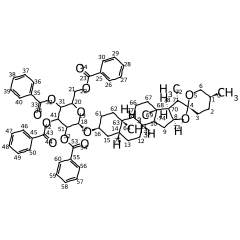 C[C@H]1CC[C@@]2(OC1)O[C@H]1C[C@H]3[C@@H]4CC[C@@H]5C[C@@H](O[C@@H]6OC(COC(=O)c7ccccc7)C(OC(=O)c7ccccc7)C(OC(=O)c7ccccc7)C6OC(=O)c6ccccc6)CC[C@]5(C)[C@H]4CC[C@]3(C)[C@H]1[C@@H]2C